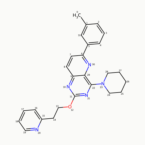 Cc1cccc(-c2ccc3nc(OCCc4ccccn4)nc(N4CCCCC4)c3n2)c1